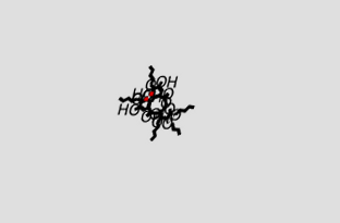 CCCCOc1c(O)cc2c(c1O)-c1c(cc(O)c(OCCCC)c1O)C(=O)O[C@@H]1C(OC2=O)O[C@@H](OCCCC)[C@@H](OCCCC)C1OCCCC